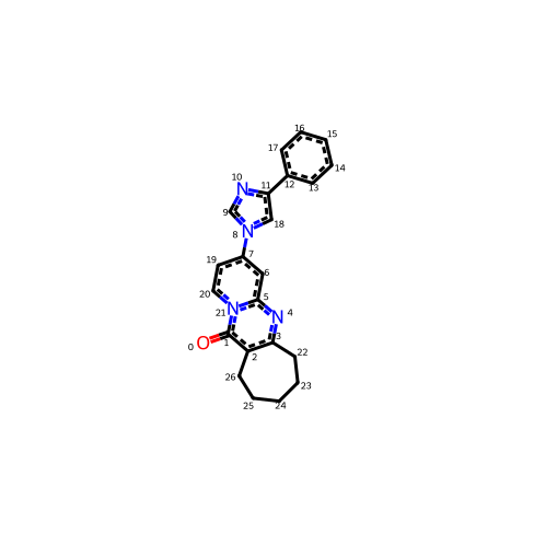 O=c1c2c(nc3cc(-n4cnc(-c5ccccc5)c4)ccn13)CCCCC2